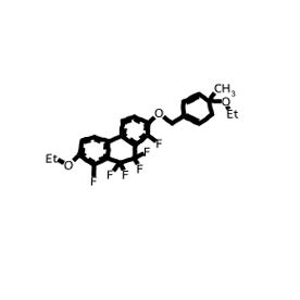 CCOc1ccc2c(c1F)C(F)(F)C(F)(F)c1c-2ccc(OCC2=CCC(C)(OCC)C=C2)c1F